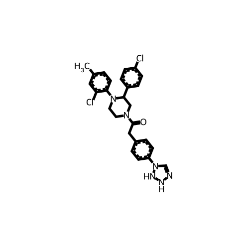 Cc1ccc(N2CCN(C(=O)Cc3ccc(N4C=NNN4)cc3)CC2c2ccc(Cl)cc2)c(Cl)c1